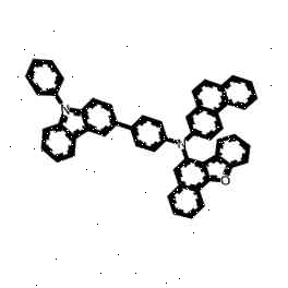 c1ccc(-n2c3ccccc3c3cc(-c4ccc(N(c5ccc6c(ccc7ccccc76)c5)c5cc6ccccc6c6oc7ccccc7c56)cc4)ccc32)cc1